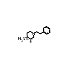 N[C@H]1CCN(CCc2ccccc2)C[C@@H]1F